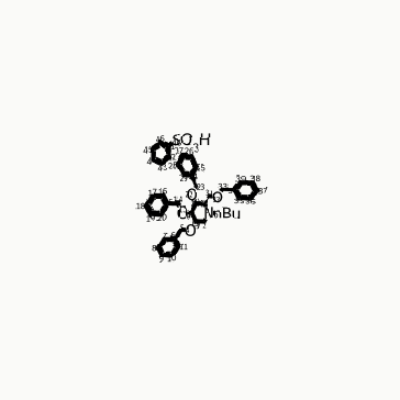 CCCCN1C[C@H](OCc2ccccc2)[C@@H](OCc2ccccc2)[C@@H](OCc2ccccc2)[C@H]1COCc1ccccc1.O=S(=O)(O)c1ccccc1